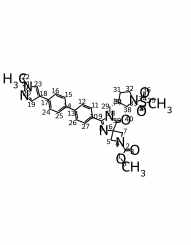 COC(=O)N1CC2(C1)N=C(c1ccc(-c3ccc(-c4cnn(C)c4)cc3)cc1)N(C[C@@H]1CCN(S(C)(=O)=O)C1)C2=O